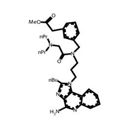 CCCCc1nc2c(N)nc3ccccc3c2n1CCCN(Cc1cccc(CC(=O)OC)c1)C(=O)CN(CCC)CCC